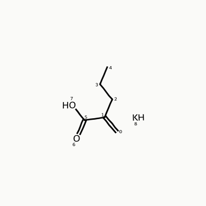 C=C(CCC)C(=O)O.[KH]